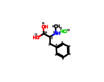 CNC(Cc1ccccc1)C(O)O.Cl